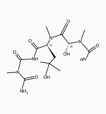 CCCC(=O)N(C)[C@H](O)C(=O)N(C)[C@@H](CC(C)(C)O)C(=O)NC(=O)N(C)C(N)=O